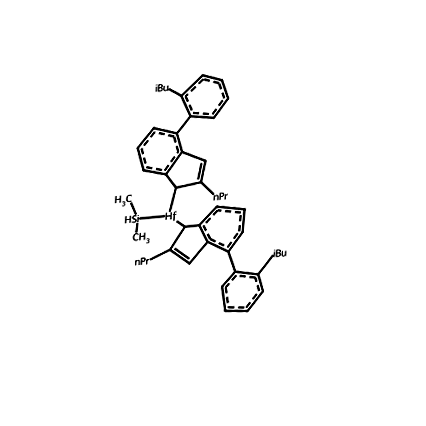 CCCC1=Cc2c(-c3ccccc3C(C)CC)cccc2[CH]1[Hf]([CH]1C(CCC)=Cc2c(-c3ccccc3C(C)CC)cccc21)[SiH](C)C